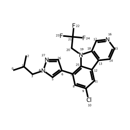 CC(C)Cn1cc(-c2cc(Cl)cc3c4ccncc4n(CC(F)(F)F)c23)cn1